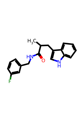 CC(Cc1c[nH]c2ccccc12)C(=O)NCc1cccc(F)c1